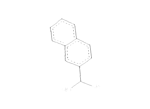 CCCCC(CCC)c1ccc2ccccc2c1